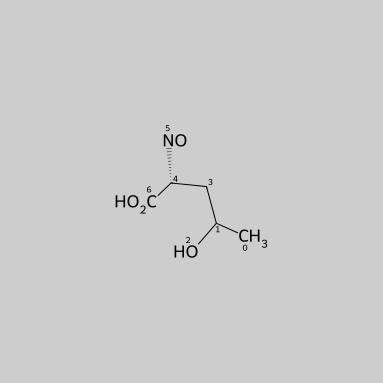 CC(O)C[C@@H](N=O)C(=O)O